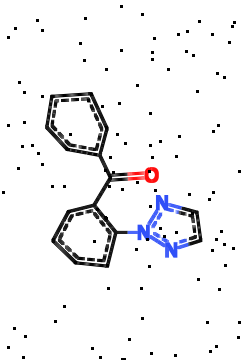 O=C(c1ccccc1)c1ccccc1-n1nccn1